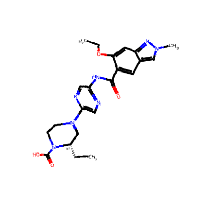 CCOc1cc2nn(C)cc2cc1C(=O)Nc1cnc(N2CCN(C(=O)O)[C@@H](CC)C2)cn1